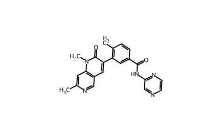 Cc1cc2c(cn1)cc(-c1cc(C(=O)Nc3cnccn3)ccc1C)c(=O)n2C